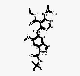 CCOC(=O)c1c(NC(C)=O)ncnc1Nc1cc2cnn(C(=O)OC(C)(C)C)c2cc1OC